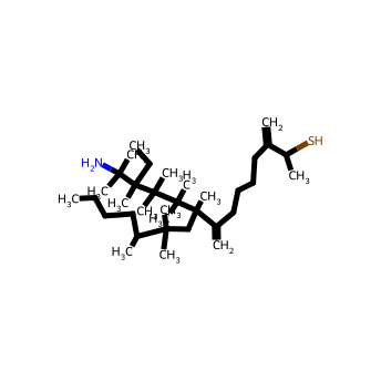 C=C(CCCCC(=C)C(C)(CC(C)(C)C(C)CCCC)C(C)(C)C(C)(C)C(C)(CC)C(C)(C)N)C(C)S